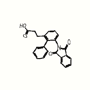 O=C(O)CCc1cccc(N2C(=O)c3ccccc3C2=O)c1-c1ccccc1